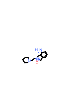 Nc1cccc2c1C[N+]([O-])(CCN1CCCCC1)C2